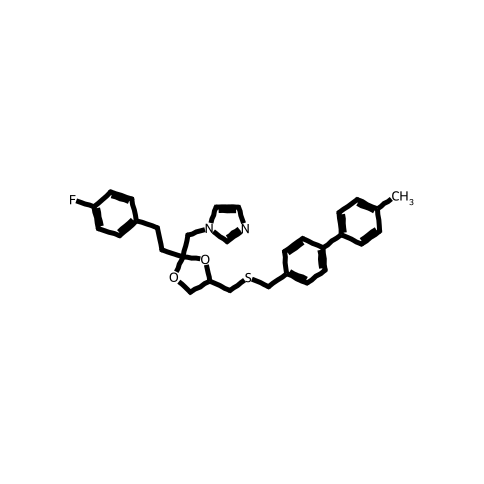 Cc1ccc(-c2ccc(CSCC3COC(CCc4ccc(F)cc4)(Cn4ccnc4)O3)cc2)cc1